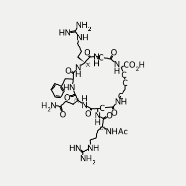 CC(=O)N[C@@H](CCCNC(=N)N)C(=O)NC1CC(=O)NCCCCC(C(=O)O)NC(=O)CNC(=O)[C@H](CCCNC(=N)N)NC(=O)C(Cc2ccccc2)NC(=O)[C@H](CCC(N)=O)NC1=O